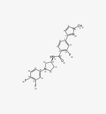 Cn1ccc(-c2ccc(C(=O)N[C@H]3CCN(c4ccc(F)c(F)c4)C3)c(F)c2)n1